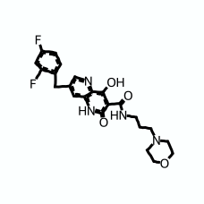 O=C(NCCCN1CCOCC1)c1c(O)c2ncc(Cc3ccc(F)cc3F)cc2[nH]c1=O